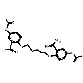 CC(=O)Oc1ccc(OCCCCCOc2ccc(OC(C)=O)cc2C(=N)N)c(C(=N)N)c1